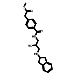 COC(=O)Cc1ccc(C(=O)NCC(O)CNC2Cc3ccccc3C2)cc1